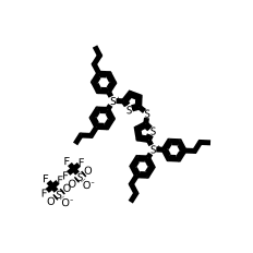 CCCc1ccc([S+](c2ccc(CCC)cc2)c2ccc(Sc3ccc([S+](c4ccc(CCC)cc4)c4ccc(CCC)cc4)s3)s2)cc1.O=S(=O)([O-])C(F)(F)F.O=S(=O)([O-])C(F)(F)F